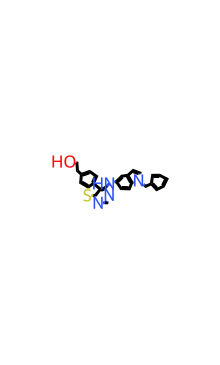 OCCc1ccc2c(c1)sc1ncnc(Nc3ccc4c(ccn4Cc4ccccc4)c3)c12